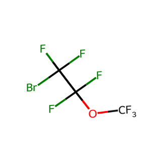 FC(F)(F)OC(F)(F)C(F)(F)Br